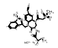 CN[C@@H](C)C(=O)N[C@H]1CN(C(=O)CS(C)(=O)=O)c2cc(C#N)ccc2N(Cc2nn(C)c3ccccc23)C1=O.Cl